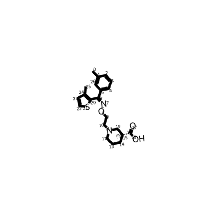 Cc1cccc(C(=NOCCN2CCC[C@@H](C(=O)O)C2)c2sccc2C)c1